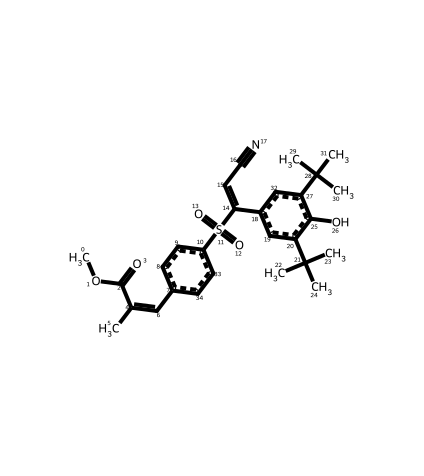 COC(=O)C(C)=Cc1ccc(S(=O)(=O)C(=CC#N)c2cc(C(C)(C)C)c(O)c(C(C)(C)C)c2)cc1